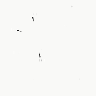 O[C@@H]1[C@@H](O)[C@@H](O)C(COC(F)F)=C[C@H]1NCC1(c2ccc(Cl)cc2)CC1